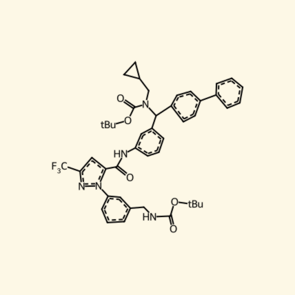 CC(C)(C)OC(=O)NCc1cccc(-n2nc(C(F)(F)F)cc2C(=O)Nc2cccc(C(c3ccc(-c4ccccc4)cc3)N(CC3CC3)C(=O)OC(C)(C)C)c2)c1